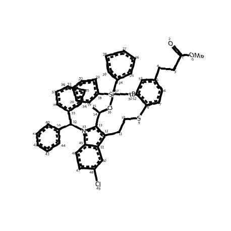 COC(=O)CCc1ccc(SCCc2c(C(C)O[Si](c3ccccc3)(c3ccccc3)C(C)(C)C)n(C(c3ccccc3)c3ccccc3)c3ccc(Cl)cc23)cc1